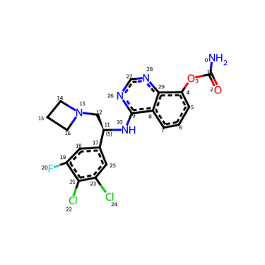 NC(=O)Oc1cccc2c(N[C@H](CN3CCC3)c3cc(F)c(Cl)c(Cl)c3)ncnc12